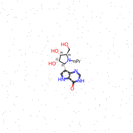 CCCN1[C@H](CO)[C@@H](O)[C@@H](O)[C@H]1c1c[nH]c2c(=O)[nH]cnc12